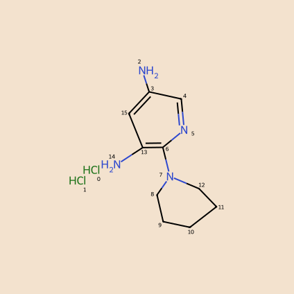 Cl.Cl.Nc1cnc(N2CCCCC2)c(N)c1